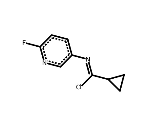 Fc1ccc(N=C(Cl)C2CC2)cn1